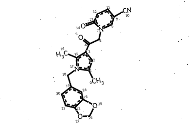 Cc1cc(C(=O)Cn2cc(C#N)ccc2=O)c(C)n1Cc1ccc2c(c1)OCO2